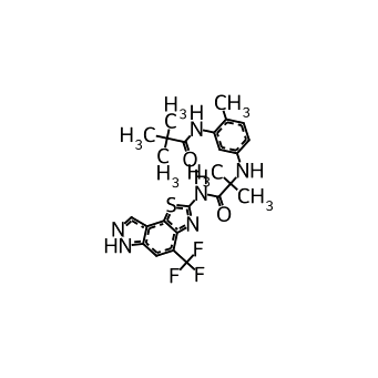 Cc1ccc(NC(C)(C)C(=O)Nc2nc3c(C(F)(F)F)cc4[nH]ncc4c3s2)cc1NC(=O)C(C)(C)C